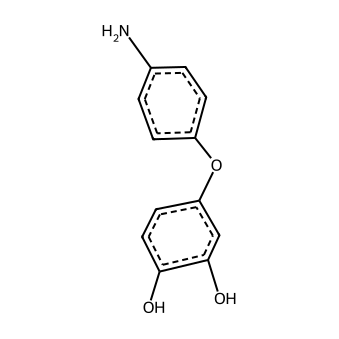 Nc1ccc(Oc2ccc(O)c(O)c2)cc1